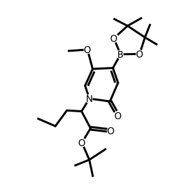 CCCC(C(=O)OC(C)(C)C)n1cc(OC)c(B2OC(C)(C)C(C)(C)O2)cc1=O